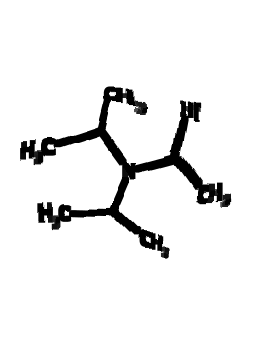 CC(C)N(C(C)C)[CH](C)[Hf]